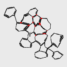 c1ccc(-c2ccc(N(c3ccccc3-c3cccc4c3-c3ccccc3C4(c3ccccc3)c3ccccc3)c3ccccc3-c3cccc4cccc(C5CCCCC5)c34)c(-c3ccccc3)c2)cc1